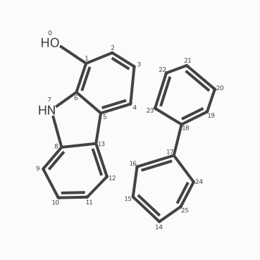 Oc1cccc2c1[nH]c1ccccc12.c1ccc(-c2ccccc2)cc1